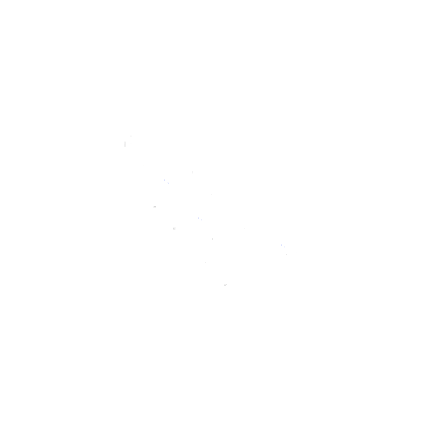 CC(C)S(=O)(=O)N1CCN(c2cccc(N)c2)CC1